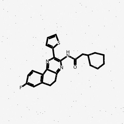 O=C(CC1CCCCC1)Nc1nc2c(nc1-c1cccs1)-c1ccc(F)cc1CC2